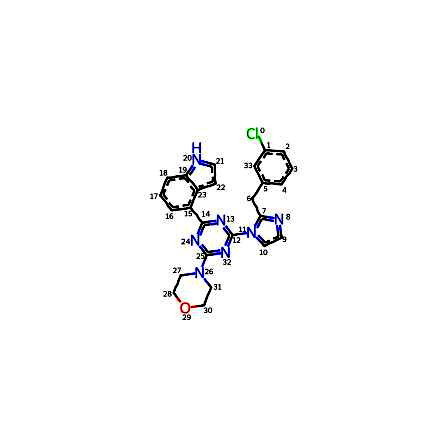 Clc1cccc(Cc2nccn2-c2nc(-c3cccc4[nH]ccc34)nc(N3CCOCC3)n2)c1